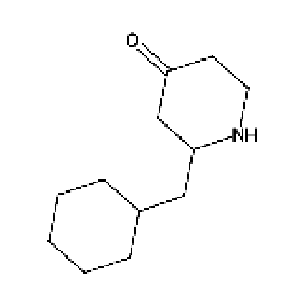 O=C1CCNC(CC2CCCCC2)C1